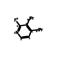 CC(C)c1ccnc(F)c1C(C)C